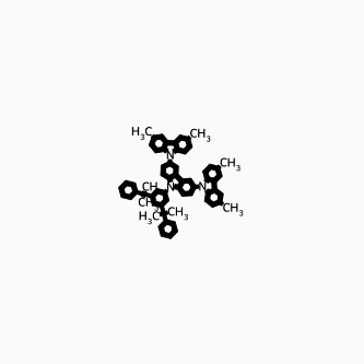 Cc1ccc2c(c1)c1cc(C)ccc1n2-c1ccc2c(c1)c1cc(-n3c4ccc(C)cc4c4cc(C)ccc43)ccc1n2-c1cc(C(C)(C)c2ccccc2)cc(C(C)(C)c2ccccc2)c1